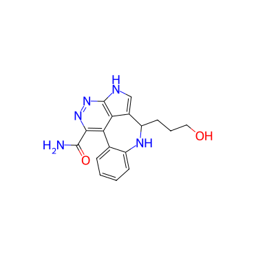 NC(=O)c1nnc2[nH]cc3c2c1-c1ccccc1NC3CCCO